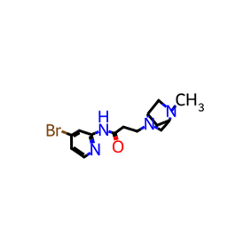 CN1CC2CC1CN2CCC(=O)Nc1cc(Br)ccn1